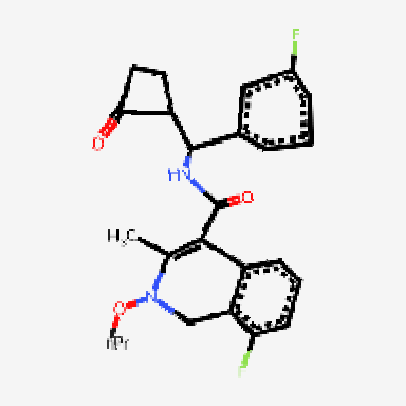 CCCON1Cc2c(F)cccc2C(C(=O)N[C@H](c2cccc(F)c2)C2CCC2=O)=C1C